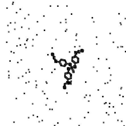 O=C=Nc1ccc(OP(=S)(Oc2ccc(N=C=O)cc2)Oc2ccc(NC=O)cc2)cc1